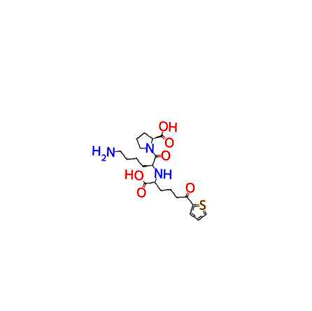 NCCCC[C@H](NC(CCCC(=O)c1cccs1)C(=O)O)C(=O)N1CCC[C@H]1C(=O)O